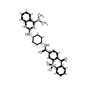 CN(C)c1nc(N[C@H]2CC[C@@H](NC(=O)c3ccc4c(c3)S(=O)(=O)c3ccccc3C4=O)CC2)nc2ccccc12